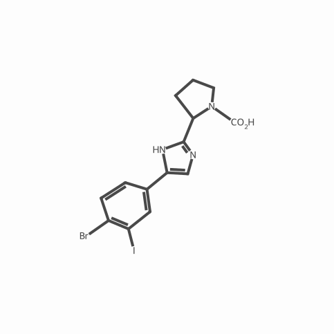 O=C(O)N1CCCC1c1ncc(-c2ccc(Br)c(I)c2)[nH]1